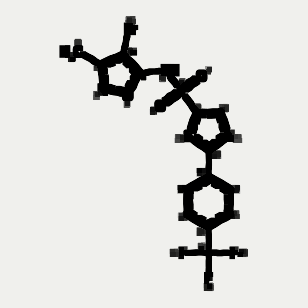 Cc1noc(NS(=O)(=O)c2cnc(-c3ccc(C(F)(F)F)cc3)s2)c1Br